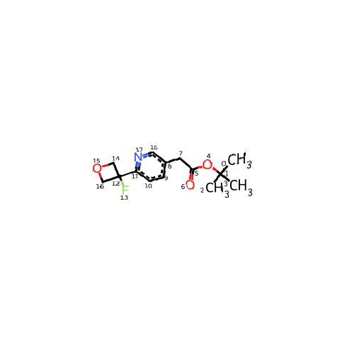 CC(C)(C)OC(=O)Cc1ccc(C2(F)COC2)nc1